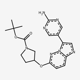 CC(C)(C)OC(=O)N1CCC(Oc2ccc3ncc(-c4cnc(N)nc4)n3n2)C1